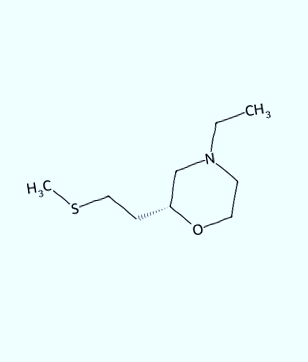 CCN1CCO[C@H](CCSC)C1